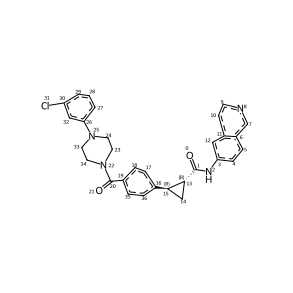 O=C(Nc1ccc2cnccc2c1)[C@@H]1C[C@H]1c1ccc(C(=O)N2CCN(c3cccc(Cl)c3)CC2)cc1